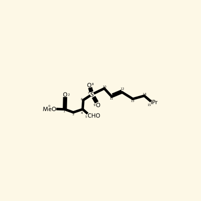 COC(=O)CC(C=O)CS(=O)(=O)CC=CCCC(C)C